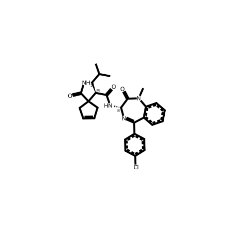 CC(C)C[C@@H](C(=O)N[C@H]1N=C(c2ccc(Cl)cc2)c2ccccc2N(C)C1=O)C1(C(N)=O)CC=CC1